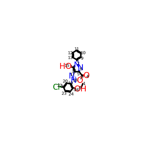 CCOC(=O)c1nn(-c2ccccc2)c(O)c1/N=N/c1cc(Cl)ccc1O